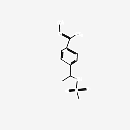 CC(NS(C)(=O)=O)c1ccc(/C(N)=N/O)cc1